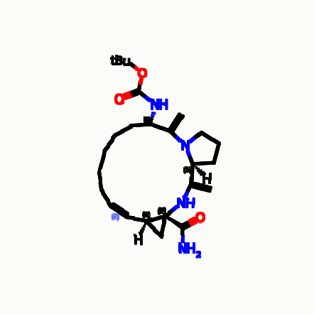 C=C1N[C@]2(C(N)=O)C[C@H]2/C=C\CCCCC[C@H](NC(=O)OC(C)(C)C)C(=C)N2CCC[C@@H]12